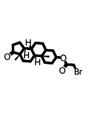 C[C@]12CCC(OC(=O)CBr)CC1CC[C@@H]1[C@@H]2CC[C@]2(C)C(=O)CC[C@@H]12